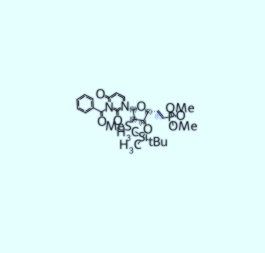 COP(=O)(/C=C/[C@H]1O[C@@H](n2ccc(=O)n(C(=O)c3ccccc3)c2=O)[C@H](SC)[C@@H]1O[Si](C)(C)C(C)(C)C)OC